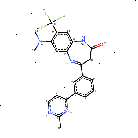 Cc1nccc(-c2cccc(C3=Nc4cc(N(C)C)c(C(F)(F)F)cc4NC(=O)C3)c2)n1